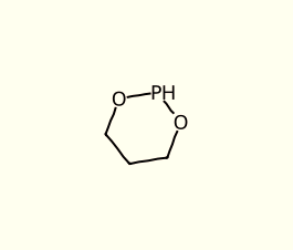 C1COPOC1